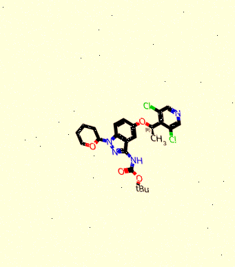 C[C@@H](Oc1ccc2c(c1)c(NC(=O)OC(C)(C)C)nn2C1CCCCO1)c1c(Cl)cncc1Cl